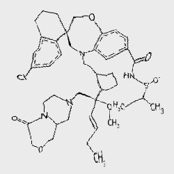 CC/C=C/[C@@](CN1CCN2C(=O)COCC2C1)(OC)C1CCC1CN1C[C@@]2(CCCc3cc(Cl)ccc32)COc2ccc(C(=O)N[S+]([O-])C(C)C)cc21